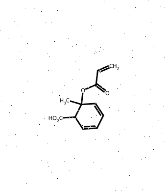 C=CC(=O)OC1(C)C=CC=CC1C(=O)O